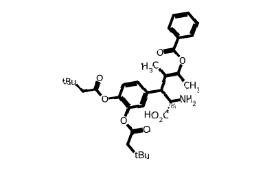 CC(OC(=O)c1ccccc1)C(C)C(c1ccc(OC(=O)CC(C)(C)C)c(OC(=O)CC(C)(C)C)c1)[C@H](N)C(=O)O